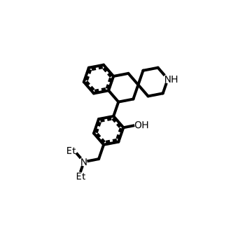 CCN(CC)Cc1ccc(C2CC3(CCNCC3)Cc3ccccc32)c(O)c1